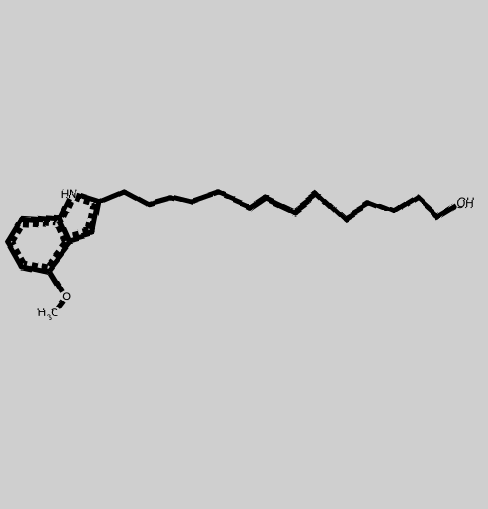 COc1cccc2[nH]c(CCCCCCCCCCCCCCO)cc12